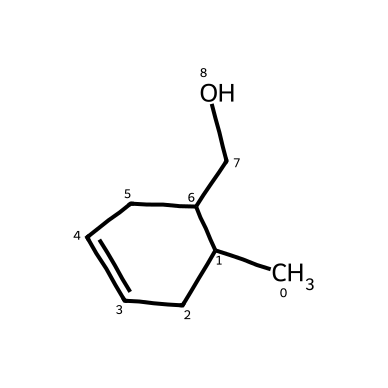 CC1CC=CCC1CO